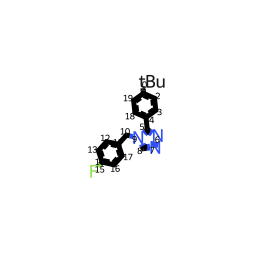 CC(C)(C)c1ccc(-c2nncn2Cc2ccc(F)cc2)cc1